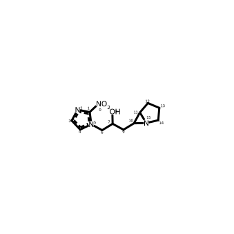 O=[N+]([O-])c1nccn1CC(O)CC1C2CCCN21